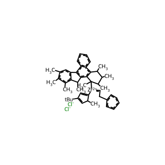 Cc1cc2c(c(C)c1C)C(C)c1c3c(c4ccccc4c1-2)C(C)C(C)C(C)[C]3(C)[Zr+2](=[CH]Cc1ccccc1)[C]1=CC(C(C)(C)C)=CC1C.[Cl-].[Cl-]